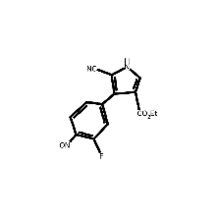 CCOC(=O)c1c[nH]c(C#N)c1-c1ccc(N=O)c(F)c1